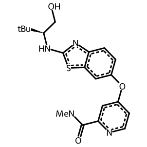 CNC(=O)c1cc(Oc2ccc3nc(N[C@H](CO)C(C)(C)C)sc3c2)ccn1